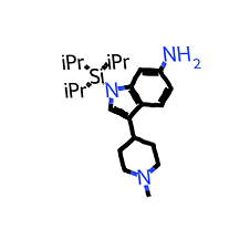 CC(C)[Si](C(C)C)(C(C)C)n1cc(C2CCN(C)CC2)c2ccc(N)cc21